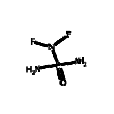 NP(N)(=O)N(F)F